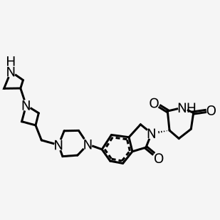 O=C1CC[C@H](N2Cc3cc(N4CCN(CC5CN(C6CNC6)C5)CC4)ccc3C2=O)C(=O)N1